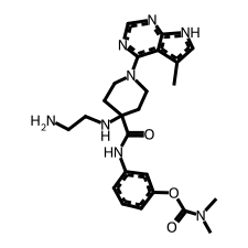 Cc1c[nH]c2ncnc(N3CCC(NCCN)(C(=O)Nc4cccc(OC(=O)N(C)C)c4)CC3)c12